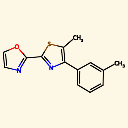 Cc1cccc(-c2nc(-c3ncco3)sc2C)c1